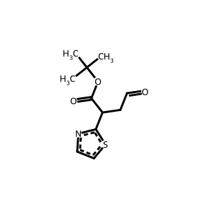 CC(C)(C)OC(=O)C(CC=O)c1nccs1